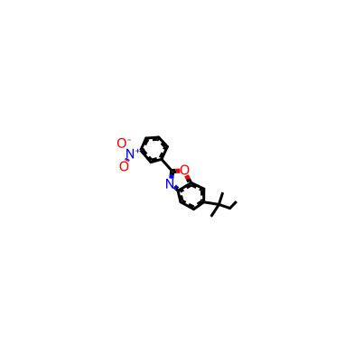 CCC(C)(C)c1ccc2nc(-c3cccc([N+](=O)[O-])c3)oc2c1